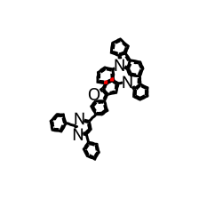 c1ccc(-c2cc(-c3ccc4c(c3)oc3ccc(-n5c6ccccc6c6ccc7c8ccccc8n(-c8ccccc8)c7c65)cc34)nc(-c3ccccc3)n2)cc1